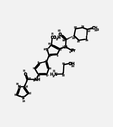 CC(C)N(c1cc(-c2ccc(NC(=O)c3cscn3)cc2)sc1C(=O)O)C(=O)[C@H]1CC[C@H](C)CC1.NCCO